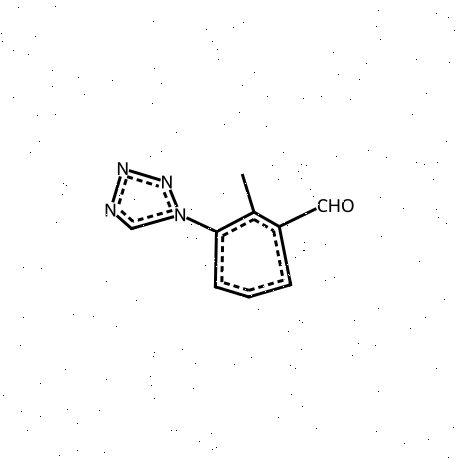 Cc1c(C=O)cccc1-n1cnnn1